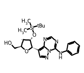 CC(C)(C)[Si](C)(C)O[C@H]1[CH][C@H](CO)O[C@H]1c1cnn2c(Nc3ccccc3)ncnc12